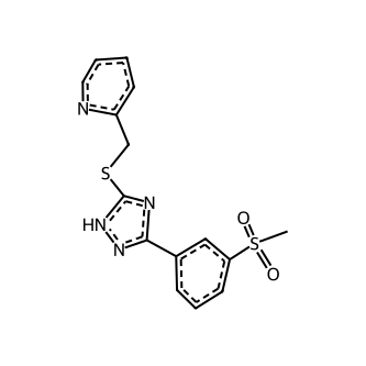 CS(=O)(=O)c1cccc(-c2n[nH]c(SCc3ccccn3)n2)c1